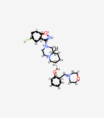 Fc1ccc2onc(N3CCN4C[C@@H](COc5ccccc5CN5CCOCC5)CC[C@H]4C3)c2c1